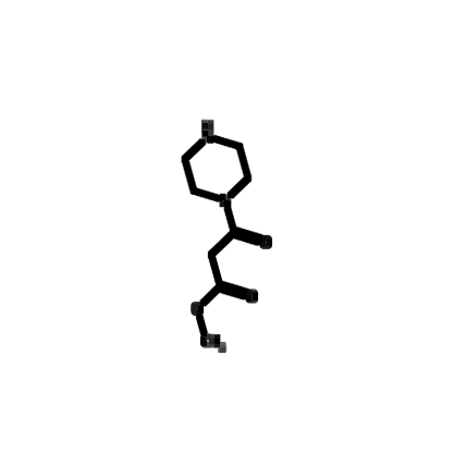 COC(=O)CC(=O)N1CCNCC1